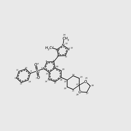 Cc1c(-c2cn(S(=O)(=O)c3ccccc3)c3ncc(C4CCC5(CC4)OCCO5)cc23)cnn1C